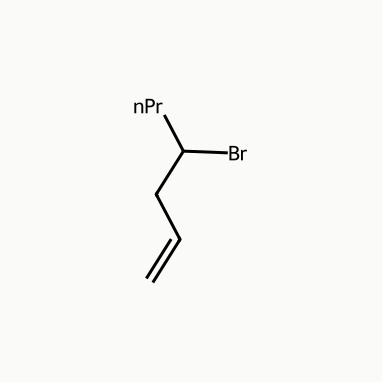 C=CCC(Br)CCC